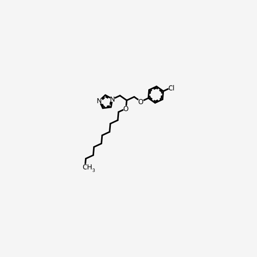 CCCCCCCCCCOC(COc1ccc(Cl)cc1)Cn1ccnc1